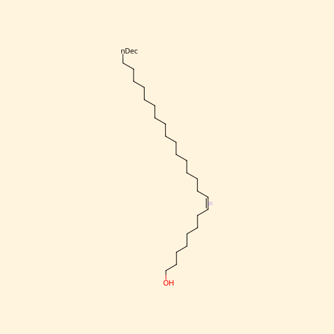 CCCCCCCCCCCCCCCCCCCCCCCCC/C=C\CCCCCCCO